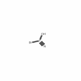 N#P(O)Br